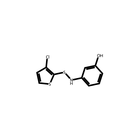 Oc1cccc(NSc2sccc2Cl)c1